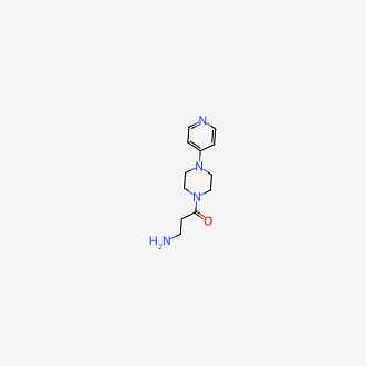 NCCC(=O)N1CCN(c2ccncc2)CC1